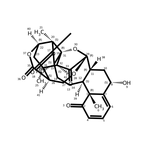 C[C@]12C(=O)C=CC=C1[C@@H](O)C[C@@H]1[C@@H]2CC[C@@]2(O)C(=O)O[C@@]3(C)[C@H]4C[C@]5(C)[C@@H](CO[C@@]16O[C@]23[C@H]5C6=O)C(=O)O4